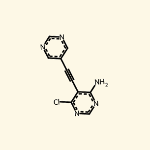 Nc1ncnc(Cl)c1C#Cc1cncnc1